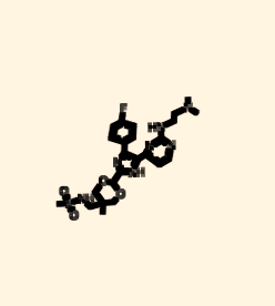 CN(C)CCNc1nccc(-c2[nH]c(C3OCC(C)(CNS(C)(=O)=O)CO3)nc2-c2ccc(F)cc2)n1